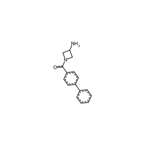 NC1CN(C(=O)c2ccc(-c3ccccc3)cc2)C1